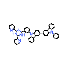 c1ccc(-n2c3ccccc3c3cc(-c4ccc5c(c4)c4ccccc4n5-c4cccc(C5=NC(c6ccccn6)NC(c6ccccn6)N5)c4)ccc32)cc1